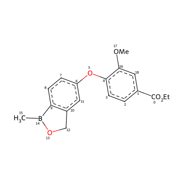 CCOC(=O)c1ccc(Oc2ccc3c(c2)COB3C)c(OC)c1